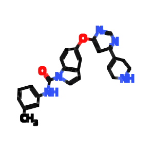 Cc1cccc(NC(=O)n2ccc3cc(Oc4cc(C5=CCNCC5)ncn4)ccc32)c1